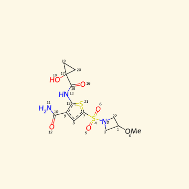 COC1CN(S(=O)(=O)c2cc(C(N)=O)c(NC(=O)C3(O)CC3)s2)C1